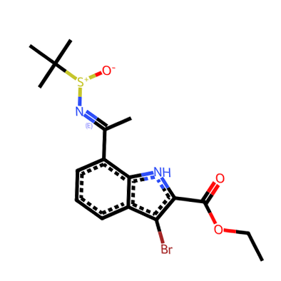 CCOC(=O)c1[nH]c2c(/C(C)=N/[S+]([O-])C(C)(C)C)cccc2c1Br